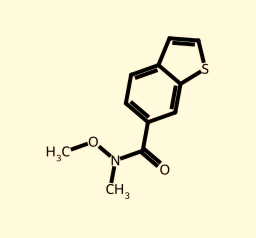 CON(C)C(=O)c1ccc2ccsc2c1